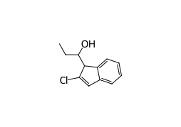 CCC(O)C1C(Cl)=Cc2ccccc21